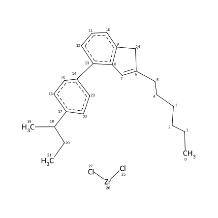 CCCCCCC1=Cc2c(cccc2-c2ccc(C(C)CC)cc2)[CH]1.[Cl][Zr][Cl]